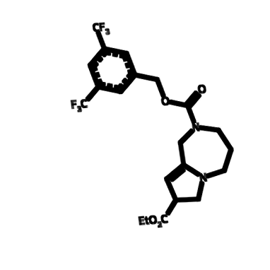 CCOC(=O)C1C=C2CN(C(=O)OCc3cc(C(F)(F)F)cc(C(F)(F)F)c3)CCCN2C1